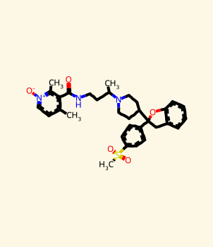 Cc1cc[n+]([O-])c(C)c1C(=O)NCCC(C)N1CCC(C2(c3ccc(S(C)(=O)=O)cc3)Cc3ccccc3O2)CC1